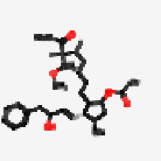 CCCC(=O)OC1=C(CCCCC(C)C(C)([SiH2]O[SiH3])C(=O)OC)[C@@H](/C=C/C(O)Cc2ccccc2)[C@H](C(C)(C)C)C1